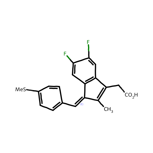 CSc1ccc(/C=C2/C(C)=C(CC(=O)O)c3cc(F)c(F)cc32)cc1